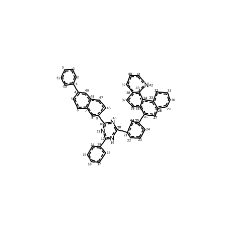 c1ccc(-c2ccc3cc(-c4nc(-c5ccccc5)nc(-c5cccc(-c6cc7ccccc7c7c6ccc6cccnc67)c5)n4)ccc3c2)cc1